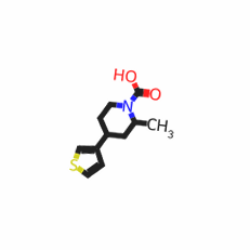 CC1CC(c2ccsc2)CCN1C(=O)O